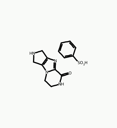 O=C1NCCn2c1nc1c2CNC1.O=S(=O)(O)c1ccccc1